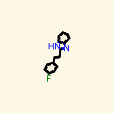 Fc1ccc(/C=C/c2nc3ccccc3[nH]2)cc1